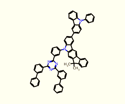 CC1(C)c2ccccc2-c2cc3c4cc(-c5ccc6c(c5)c5ccccc5n6-c5ccccc5)ccc4n(-c4cccc(-c5nc(-c6cccc(-c7ccccc7)c6)nc(-c6cccc(-c7ccccc7)c6)n5)c4)c3cc21